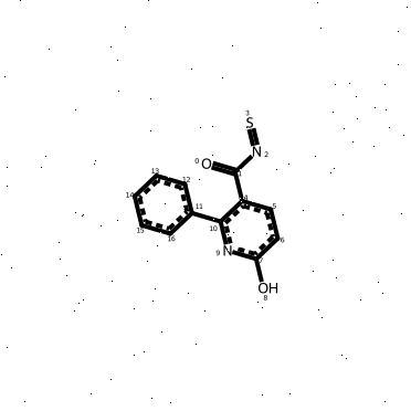 O=C(N=S)c1ccc(O)nc1-c1ccccc1